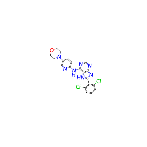 Clc1cccc(Cl)c1-c1nc2ncnc(Nc3ccc(N4CCOCC4)cn3)c2[nH]1